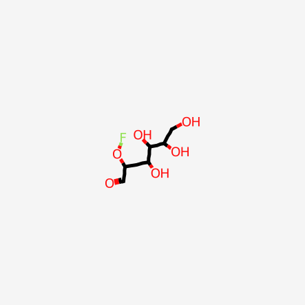 O=CC(OF)C(O)C(O)C(O)CO